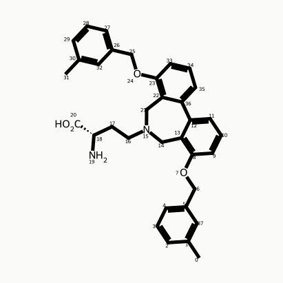 Cc1cccc(COc2cccc3c2CN(CC[C@H](N)C(=O)O)Cc2c(OCc4cccc(C)c4)cccc2-3)c1